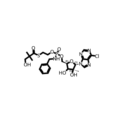 CC(C)(CO)C(=O)SCCOP(=O)(NCc1ccccc1)OC[C@H]1O[C@H](n2cnc3c(Cl)ncnc32)[C@@](C)(O)C1O